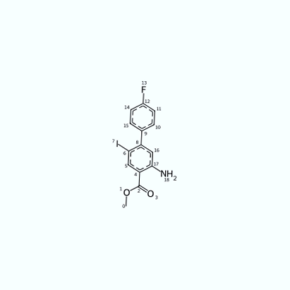 COC(=O)c1cc(I)c(-c2ccc(F)cc2)cc1N